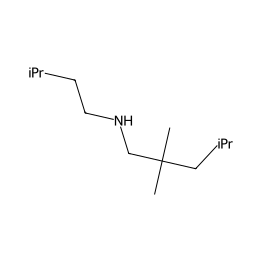 CC(C)CCNCC(C)(C)CC(C)C